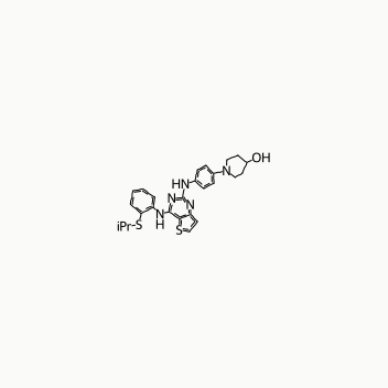 CC(C)Sc1ccccc1Nc1nc(Nc2ccc(N3CCC(O)CC3)cc2)nc2ccsc12